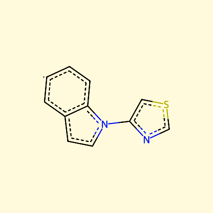 [c]1ccc2c(c1)ccn2-c1cscn1